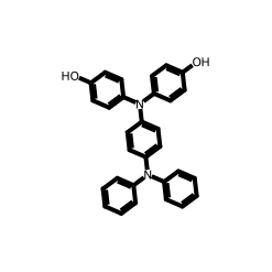 Oc1ccc(N(c2ccc(O)cc2)c2ccc(N(c3ccccc3)c3ccccc3)cc2)cc1